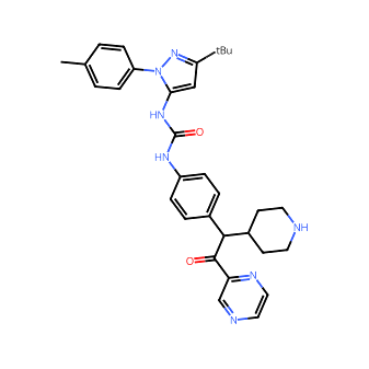 Cc1ccc(-n2nc(C(C)(C)C)cc2NC(=O)Nc2ccc(C(C(=O)c3cnccn3)C3CCNCC3)cc2)cc1